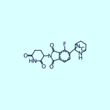 O=C1CCC(N2C(=O)c3ccc(N4CC5CCC4CN5)c(F)c3C2=O)C(=O)N1